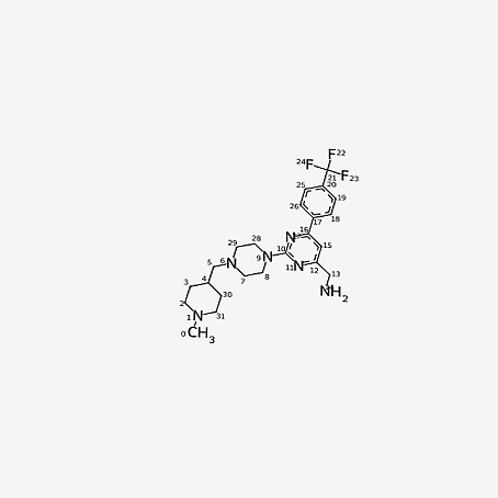 CN1CCC(CN2CCN(c3nc(CN)cc(-c4ccc(C(F)(F)F)cc4)n3)CC2)CC1